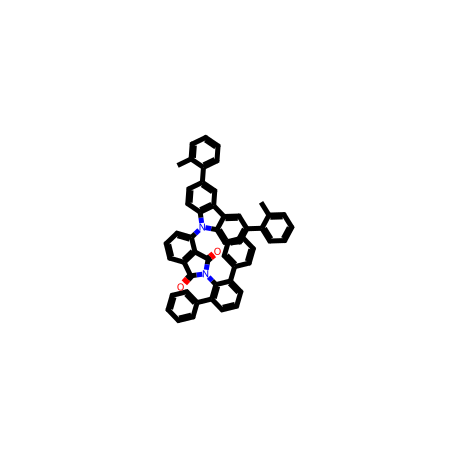 Cc1ccccc1-c1ccc2c(c1)c1cc(-c3ccccc3C)ccc1n2-c1cccc2c1C(=O)N(c1c(-c3ccccc3)cccc1-c1ccccc1)C2=O